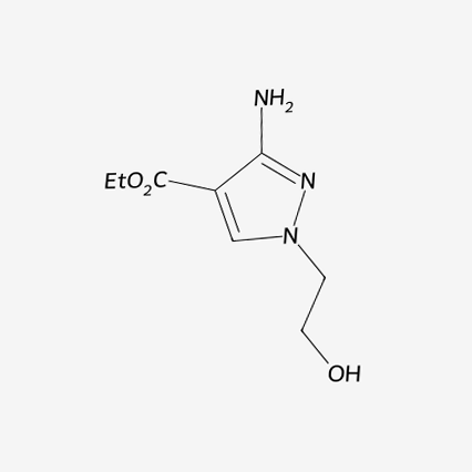 CCOC(=O)c1cn(CCO)nc1N